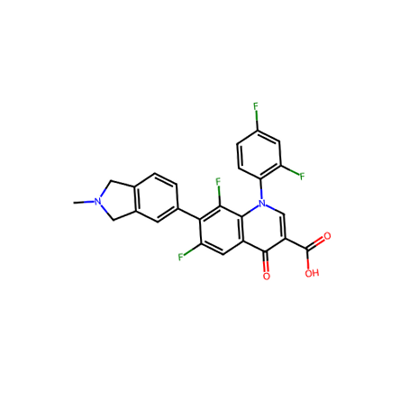 CN1Cc2ccc(-c3c(F)cc4c(=O)c(C(=O)O)cn(-c5ccc(F)cc5F)c4c3F)cc2C1